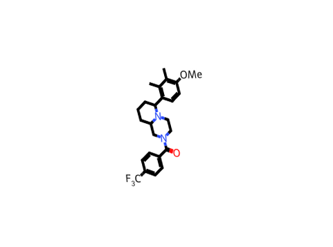 COc1ccc(C2CCCC3CN(C(=O)c4ccc(C(F)(F)F)cc4)CCN32)c(C)c1C